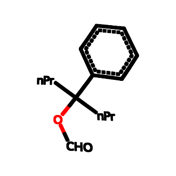 CCCC(CCC)(OC=O)c1ccccc1